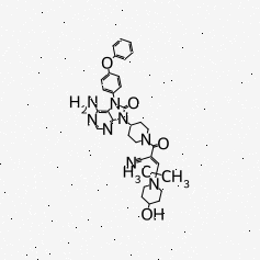 CC(C)(C=C(C#N)C(=O)N1CCC(n2c(=O)n(-c3ccc(Oc4ccccc4)cc3)c3c(N)ncnc32)CC1)N1CCC(O)CC1